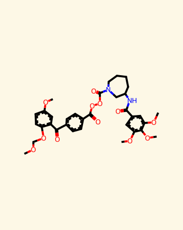 COCOc1ccc(OC)cc1C(=O)c1ccc(C(=O)OOC(=O)N2CCCCC(NC(=O)c3cc(OC)c(OC)c(OC)c3)C2)cc1